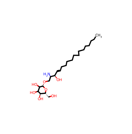 CCCCCCCCCCCCC/C=C/[C@@H](O)[C@@H](N)CO[C@@H]1O[C@H](CO)[C@@H](O)C(O)C1O